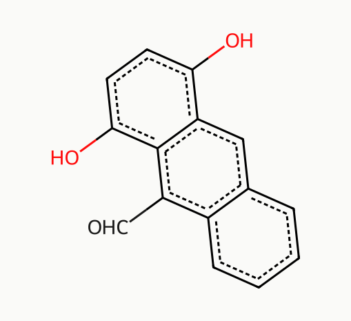 O=Cc1c2ccccc2cc2c(O)ccc(O)c12